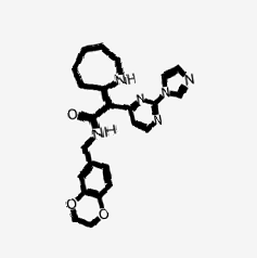 O=C(NCc1ccc2c(c1)OCCO2)C(c1ccnc(-n2ccnc2)n1)C1CCCCCN1